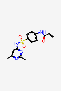 C=CC(=O)Nc1ccc(S(=O)(=O)Nc2cc(C)nc(C)n2)cc1